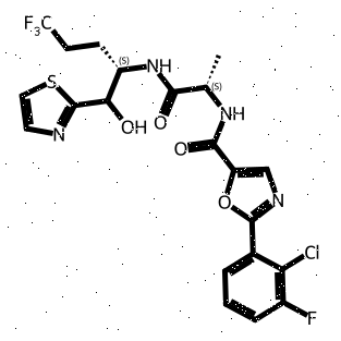 C[C@H](NC(=O)c1cnc(-c2cccc(F)c2Cl)o1)C(=O)N[C@@H](CCC(F)(F)F)C(O)c1nccs1